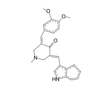 COc1ccc(C=C2CN(C)CC(=Cc3c[nH]c4ccccc34)C2=O)cc1OC